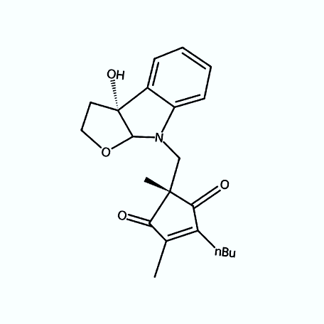 CCCCC1=C(C)C(=O)[C@](C)(CN2c3ccccc3[C@]3(O)CCOC23)C1=O